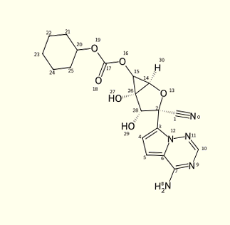 N#C[C@@]1(c2ccc3c(N)ncnn23)O[C@@H]2C(OC(=O)OC3CCCCC3)[C@]2(O)[C@H]1O